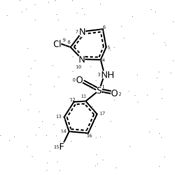 O=S(=O)(Nc1ccnc(Cl)n1)c1ccc(F)cc1